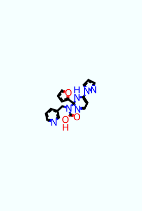 O=C(O)N(Cc1cccnc1)C1(c2ccco2)N=CC=C(n2cccn2)N1